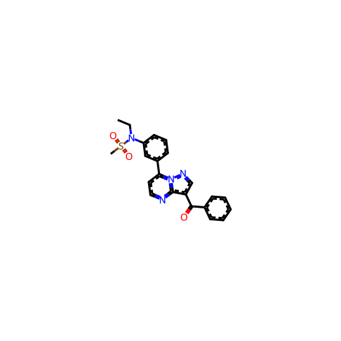 CCN(c1cccc(-c2ccnc3c(C(=O)c4ccccc4)cnn23)c1)S(C)(=O)=O